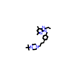 CCc1nc2c(C)cc(C)nc2n1Cc1ccc(CCCN2CCN(C(C)(C)C)CC2)cc1